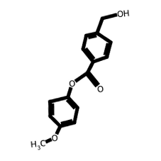 COc1ccc(OC(=O)c2ccc(CO)cc2)cc1